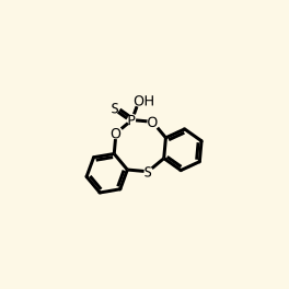 OP1(=S)Oc2ccccc2Sc2ccccc2O1